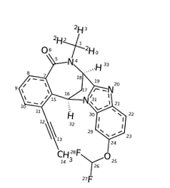 [2H]C([2H])([2H])N1C(=O)c2cccc(C#CC)c2[C@H]2C[C@@H]1c1nc3ccc(OC(F)F)cc3n12